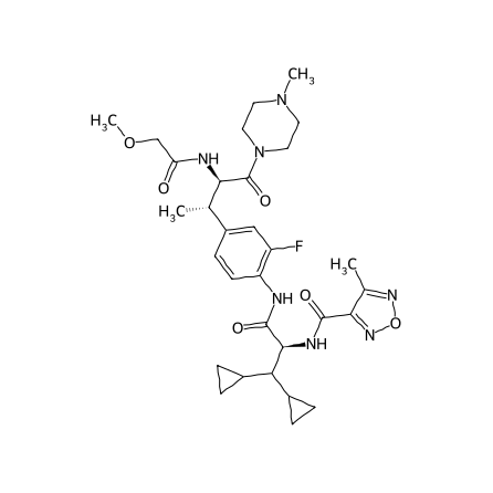 COCC(=O)N[C@@H](C(=O)N1CCN(C)CC1)[C@@H](C)c1ccc(NC(=O)[C@@H](NC(=O)c2nonc2C)C(C2CC2)C2CC2)c(F)c1